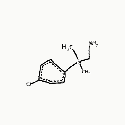 C[Si](C)(CN)c1ccc(Cl)cc1